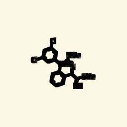 CNOC(c1cc(Cl)cc(Cl)c1)c1ccccc1/C(=N\OC)C(=N)SC